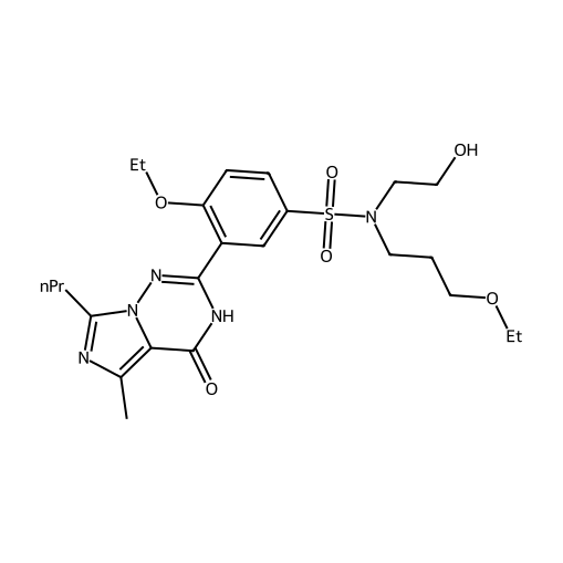 CCCc1nc(C)c2c(=O)[nH]c(-c3cc(S(=O)(=O)N(CCO)CCCOCC)ccc3OCC)nn12